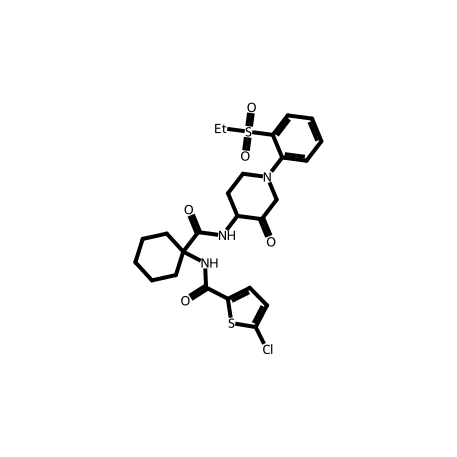 CCS(=O)(=O)c1ccccc1N1CCC(NC(=O)C2(NC(=O)c3ccc(Cl)s3)CCCCC2)C(=O)C1